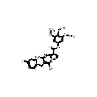 COc1cc(NC(=O)c2cnn3c(O)c(Cc4ccc(Cl)cc4)c(C)nc23)cc(OC)c1OC